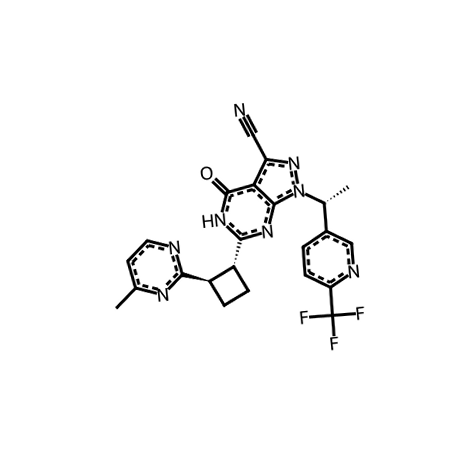 Cc1ccnc([C@@H]2CC[C@H]2c2nc3c(c(C#N)nn3[C@H](C)c3ccc(C(F)(F)F)nc3)c(=O)[nH]2)n1